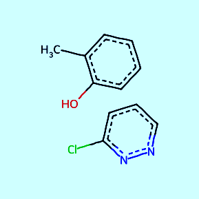 Cc1ccccc1O.Clc1cccnn1